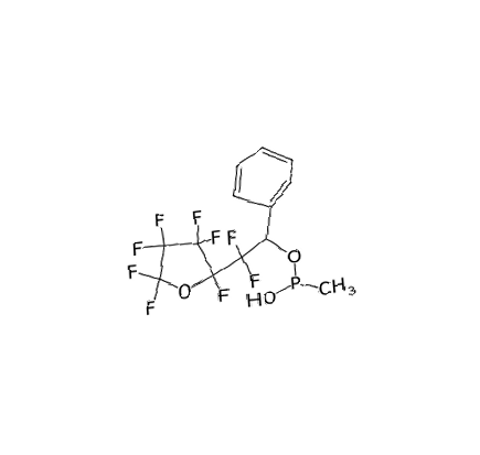 CP(O)OC(c1ccccc1)C(F)(F)C1(F)OC(F)(F)C(F)(F)C1(F)F